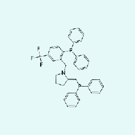 FC(F)(F)c1ccc(P(c2ccccc2)c2ccccc2)c(CN2CCCC2CP(c2ccccc2)c2ccccc2)c1